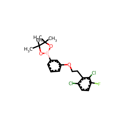 CC1(C)OB(c2cccc(OCCc3c(Cl)ccc(F)c3Cl)c2)OC1(C)C